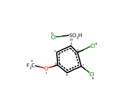 FC(F)(F)Oc1ccc(Cl)c(Cl)c1.O=S(=O)(O)Cl